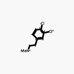 C[N]CCc1ccc(Cl)c(Cl)c1